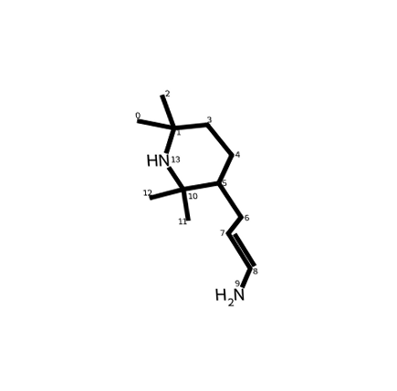 CC1(C)CCC(CC=CN)C(C)(C)N1